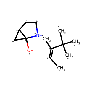 CC=C(C)C(C)(C)C.OC12CC1CCN2